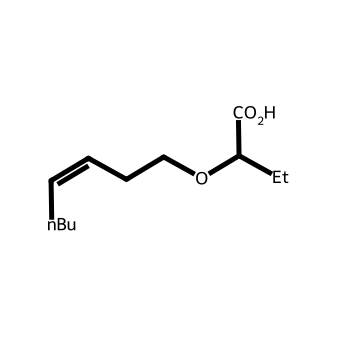 CCCC/C=C\CCOC(CC)C(=O)O